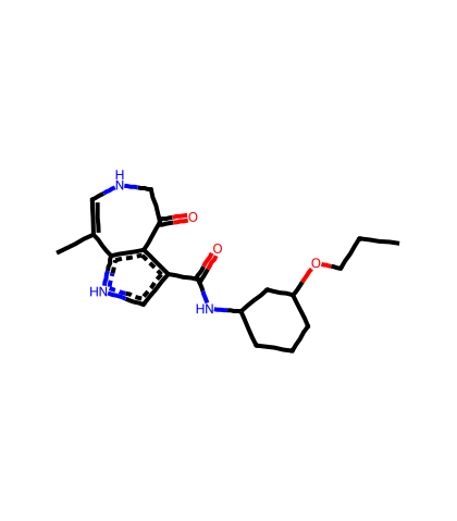 CCCOC1CCCC(NC(=O)c2c[nH]c3c2C(=O)CNC=C3C)C1